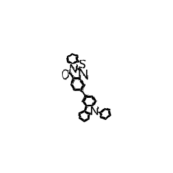 O=c1c2ccc(-c3ccc4c(c3)c3ccccc3n4-c3ccccc3)cc2nc2sc3ccccc3n12